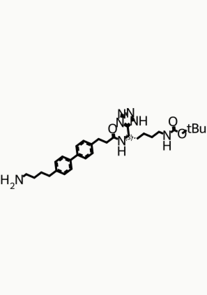 CC(C)(C)OC(=O)NCCCC[C@H](NC(=O)CCc1ccc(-c2ccc(CCCCN)cc2)cc1)c1nnn[nH]1